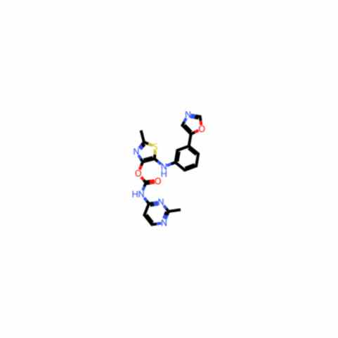 Cc1nccc(NC(=O)Oc2nc(C)sc2Nc2cccc(-c3cnco3)c2)n1